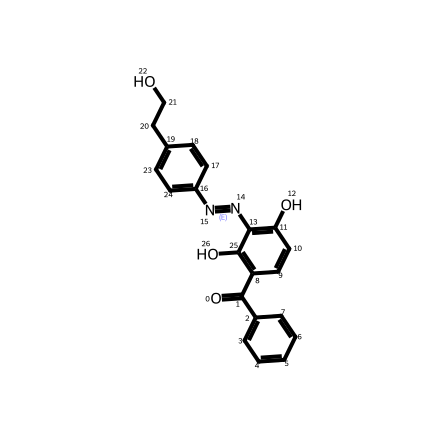 O=C(c1ccccc1)c1ccc(O)c(/N=N/c2ccc(CCO)cc2)c1O